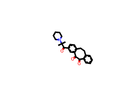 CC(C)(C(=O)c1ccc2c(c1)C(=O)C(=O)c1ccccc1CC2)N1CCCCC1